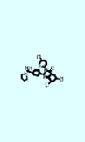 N=C(c1ccc(-c2nc3c(Cl)cc(Cl)cc3c(=O)n2-c2ccc(Cl)cn2)cc1)N1CCCC1